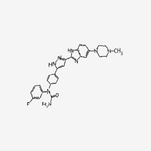 CN1CCN(c2ccc3[nH]c(-c4cc(-c5ccc(N(C(N)=O)c6cccc(F)c6)cc5)[nH]n4)nc3c2)CC1